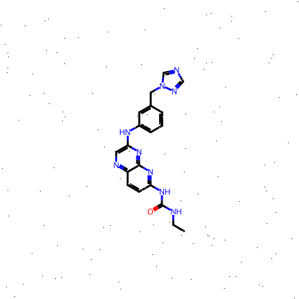 CCNC(=O)Nc1ccc2ncc(Nc3cccc(Cn4cncn4)c3)nc2n1